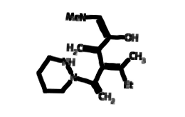 C=C(/C(C(=C)N1CCCCN1)=C(\C)CC)/C(O)=C\NC